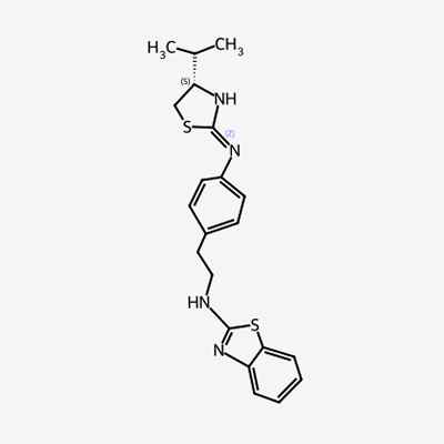 CC(C)[C@H]1CS/C(=N\c2ccc(CCNc3nc4ccccc4s3)cc2)N1